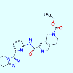 CC(C)(C)COC(=O)N1CCc2cnc(C(=O)Nc3cccc(-c4nnc5n4CCCC5)n3)cc2C1